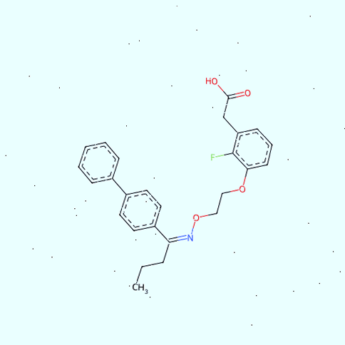 CCCC(=NOCCOc1cccc(CC(=O)O)c1F)c1ccc(-c2ccccc2)cc1